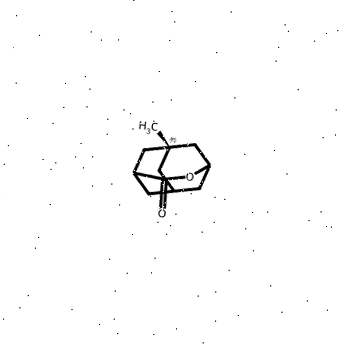 C[C@]12CC3CC(C1)OC(=O)C(C3)C2